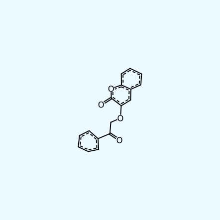 O=C(COc1cc2ccccc2oc1=O)c1ccccc1